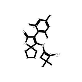 Cc1cc(C)c(C2=C(OC3=C(O)C(C)(C)C3)C3(CCCC3)OC2=O)c(C)c1